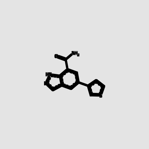 NC(=O)c1cc(-c2ccsc2)cc2cn[nH]c12